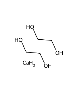 OCCO.OCCO.[CaH2]